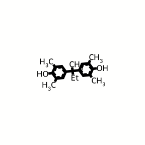 CCC(C)(c1cc(C)c(O)c(C)c1)c1cc(C)c(O)c(C)c1